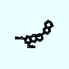 COc1cc(OC)c(CC2CCN(c3ccc4[c]ccnc4c3)CC2)c(OC)c1